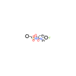 CC(C)CC(C(=O)NS(=O)(=O)C=Cc1ccccc1)C(=O)N(Cc1ccc(F)cc1)C(C)C